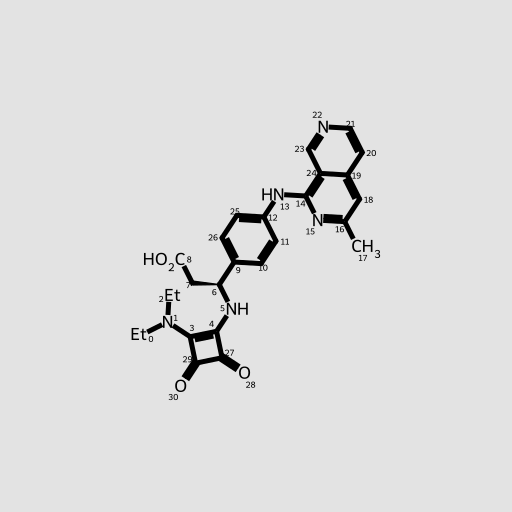 CCN(CC)c1c(N[C@@H](CC(=O)O)c2ccc(Nc3nc(C)cc4ccncc34)cc2)c(=O)c1=O